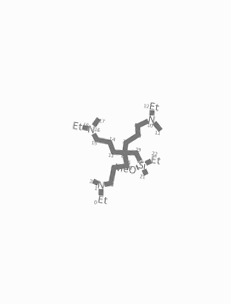 CCN(C)CCCC(CCCN(C)CC)(CCCN(C)CC)C[Si](C)(CC)OC